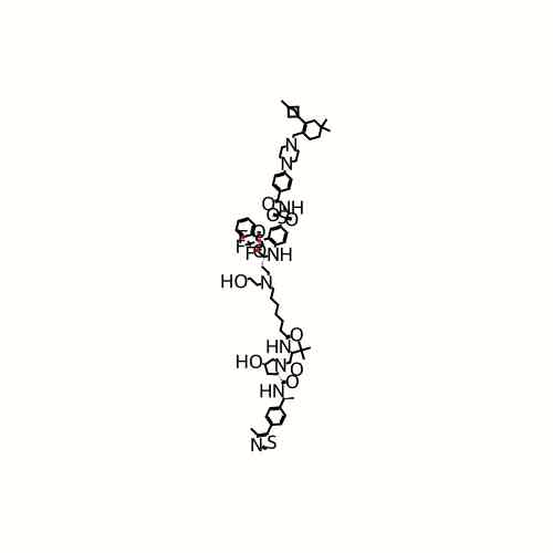 Cc1ncsc1-c1ccc([C@H](C)NC(=O)[C@@H]2C[C@@H](O)CN2C(=O)[C@@H](NC(=O)CCCCCCN(CCO)CC[C@H](CSc2ccccc2)Nc2ccc(S(=O)(=O)NC(=O)c3ccc(N4CCN(CC5=C(C67CC(C)(C6)C7)CC(C)(C)CC5)CC4)cc3)cc2S(=O)(=O)C(F)(F)F)C(C)(C)C)cc1